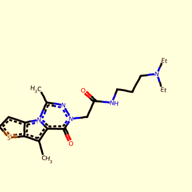 CCN(CC)CCCNC(=O)Cn1nc(C)n2c(c(C)c3sccc32)c1=O